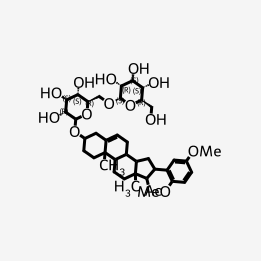 COc1ccc(OC)c(C2CC3C4CC=C5CC(OC6O[C@H](CO[C@H]7O[C@H](CO)[C@@H](O)[C@H](O)[C@H]7O)[C@@H](O)[C@H](O)[C@H]6O)CCC5(C)C4CCC3(C)C2C(C)=O)c1